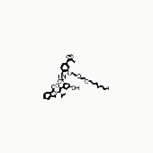 Cc1ncsc1-c1ccc(CNC(=O)[C@@H]2C[C@@H](O)CC2C(=O)[C@H](C(C)C)N2Cc3ccccc3C2=O)c(OCCOCCOCCCCCCI)c1